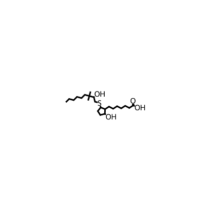 CCCCCCC(C)(C)C(O)CSC1CCC(O)C1CCCCCCC(=O)O